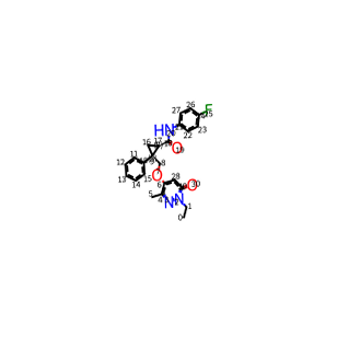 CCn1nc(C)c(OC[C@@]2(c3ccccc3)C[C@H]2C(=O)Nc2ccc(F)cc2)cc1=O